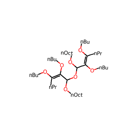 CCCCCCCCOC(OC(OCCCCCCCC)C(OCCCC)=C(CCC)OCCCC)C(OCCCC)=C(CCC)OCCCC